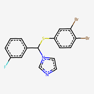 Fc1cccc(C(Sc2ccc(Br)c(Br)c2)n2ccnc2)c1